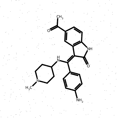 CC(=O)c1ccc2c(c1)C(=C(NC1CCN(C)CC1)c1ccc(N)cc1)C(=O)N2